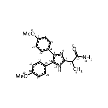 COc1ccc(-c2nc(C(C)C(N)=O)[nH]c2-c2ccc(OC)cc2)cc1